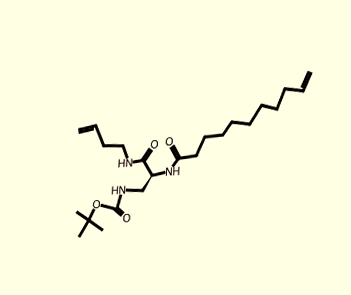 C=CCCCCCCCCC(=O)N[C@@H](CNC(=O)OC(C)(C)C)C(=O)NCCC=C